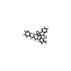 O=C1c2ccccc2C(=O)C1(c1cccc(F)c1)N1CCN(Cc2ccccc2)CC1